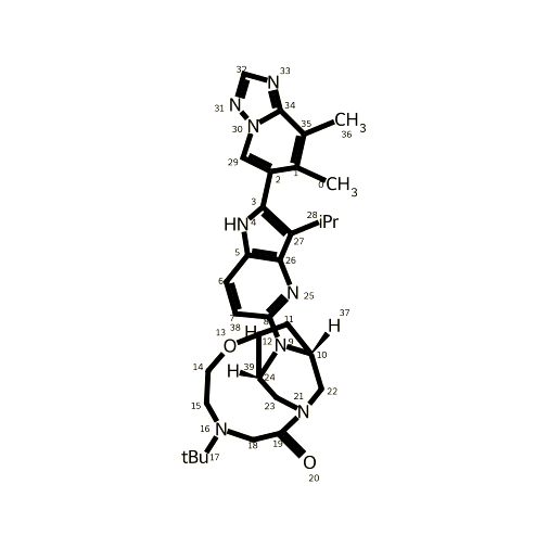 Cc1c(-c2[nH]c3ccc(N4[C@@H]5C[C@@H]6OCCN(C(C)(C)C)CC(=O)N(C5)C[C@H]64)nc3c2C(C)C)cn2ncnc2c1C